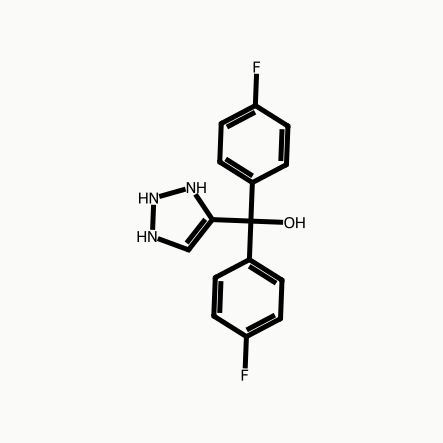 OC(C1=CNNN1)(c1ccc(F)cc1)c1ccc(F)cc1